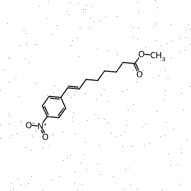 COC(=O)CCCCCC=Cc1ccc([N+](=O)[O-])cc1